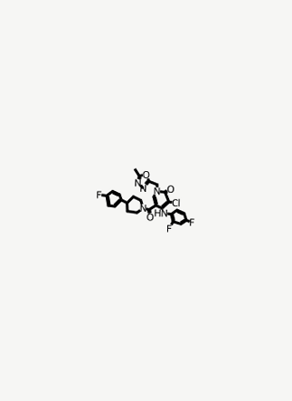 Cc1nnc(Cn2cc(C(=O)N3CCC(c4ccc(F)cc4)CC3)c(Nc3ccc(F)cc3F)c(Cl)c2=O)o1